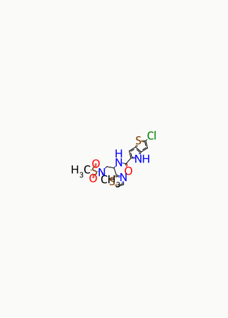 CN(CC(NC(=O)c1cc2sc(Cl)cc2[nH]1)c1nccs1)S(C)(=O)=O